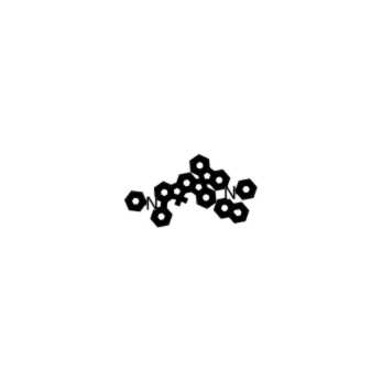 CC1(C)c2c(ccc3c2-c2ccccc2C32c3ccccc3-c3ccc(N(c4ccccc4)c4cccc5ccccc45)cc32)-c2ccc3c(c21)c1ccccc1n3-c1ccccc1